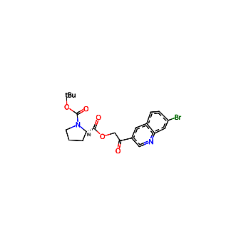 CC(C)(C)OC(=O)N1CCC[C@H]1C(=O)OCC(=O)c1cnc2cc(Br)ccc2c1